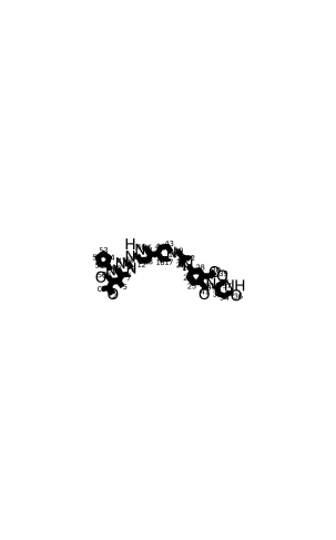 CC(=O)c1c(C)c2cnc(Nc3ccc(C4CCN(CC5CN(c6ccc7c(c6)C(=O)N(C6CCC(=O)NC6=O)C7=O)C5)CC4)cn3)nc2n(C2CCCC2)c1=O